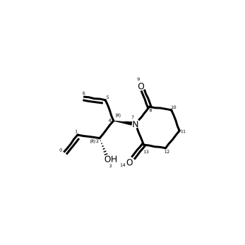 C=C[C@@H](O)[C@@H](C=C)N1C(=O)CCCC1=O